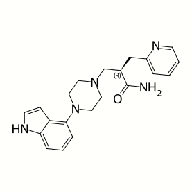 NC(=O)[C@H](Cc1ccccn1)CN1CCN(c2cccc3[nH]ccc23)CC1